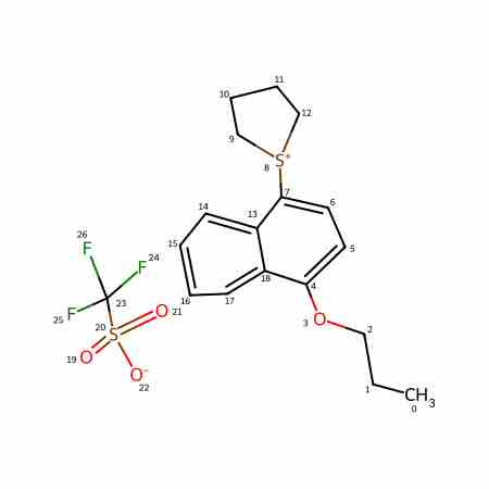 CCCOc1ccc([S+]2CCCC2)c2ccccc12.O=S(=O)([O-])C(F)(F)F